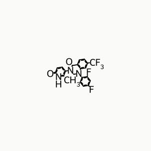 Cc1[nH]c(=O)ccc1N1CN(c2ccc(F)cc2F)c2cc(C(F)(F)F)ccc2C1=O